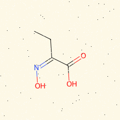 CCC(=NO)C(=O)O